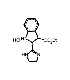 CCOC(=O)C1c2ccccc2NC1C1=NCCN1.Cl